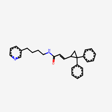 O=C(C=CC1CC1(c1ccccc1)c1ccccc1)NCCCCc1cccnc1